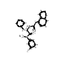 CN(C(=O)[C@H](Cc1ccccc1)NC(=O)Cc1cccc2ccccc12)c1cccc(F)c1